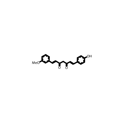 COc1cccc(/C=C/C(=O)CC(=O)/C=C/c2ccc(O)cc2)c1